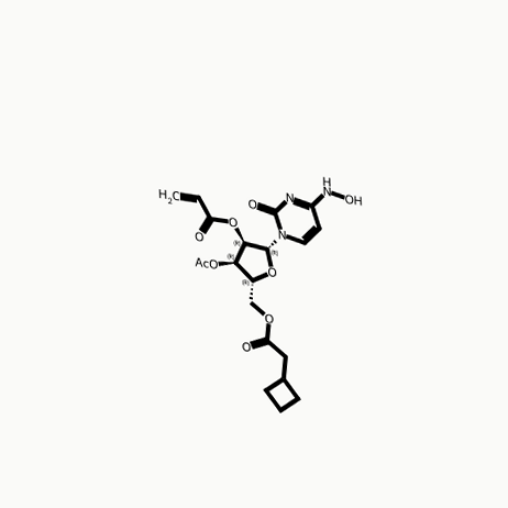 C=CC(=O)O[C@@H]1[C@H](OC(C)=O)[C@@H](COC(=O)CC2CCC2)O[C@H]1n1ccc(NO)nc1=O